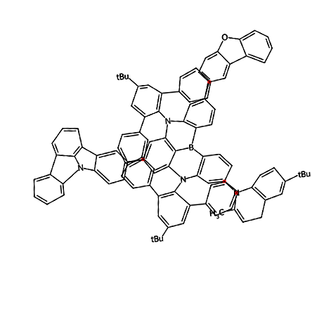 CC1=CCc2cc(C(C)(C)C)ccc2N1c1ccc2c(c1)N(c1c(-c3ccccc3)cc(C(C)(C)C)cc1-c1ccccc1)c1cc(-c3ccc4c(c3)c3cccc5c6ccccc6n4c53)cc3c1B2c1ccc(-c2ccc4oc5ccccc5c4c2)cc1N3c1c(-c2ccccc2)cc(C(C)(C)C)cc1-c1ccccc1